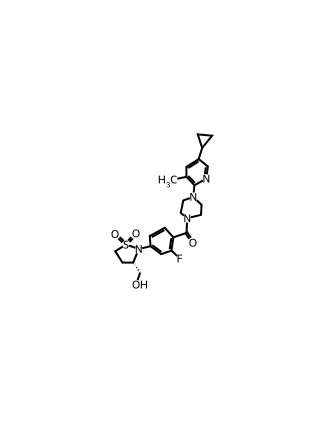 Cc1cc(C2CC2)cnc1N1CCN(C(=O)c2ccc(N3[C@H](CO)CCS3(=O)=O)cc2F)CC1